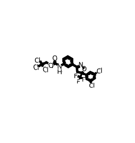 O=C(Nc1cccc(C2=NOC(c3cc(Cl)cc(Cl)c3)(C(F)(F)F)C2)c1)OCC(Cl)(Cl)Cl